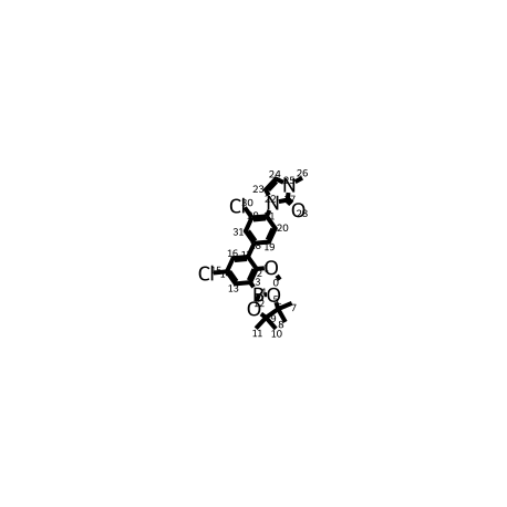 COc1c(B2OC(C)(C)C(C)(C)O2)cc(Cl)cc1-c1ccc(-n2ccn(C)c2=O)c(Cl)c1